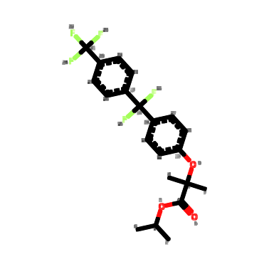 CC(C)OC(=O)C(C)(C)Oc1ccc(C(F)(F)c2ccc(C(F)(F)F)cc2)cc1